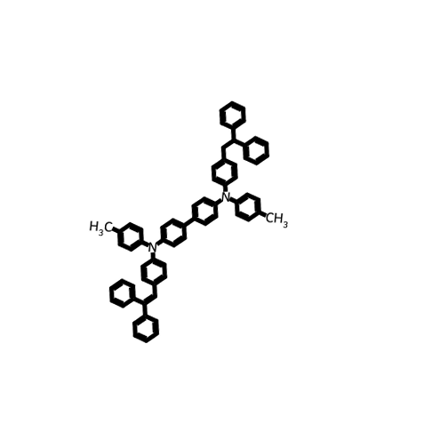 Cc1ccc(N(c2ccc(C=C(c3ccccc3)c3ccccc3)cc2)c2ccc(-c3ccc(N(c4ccc(C)cc4)c4ccc(CC(c5ccccc5)c5ccccc5)cc4)cc3)cc2)cc1